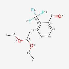 CCOC(C)OCC.O=Cc1ccccc1C(F)(F)F